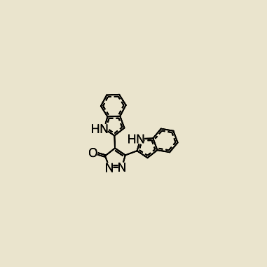 O=C1N=NC(c2cc3ccccc3[nH]2)=C1c1cc2ccccc2[nH]1